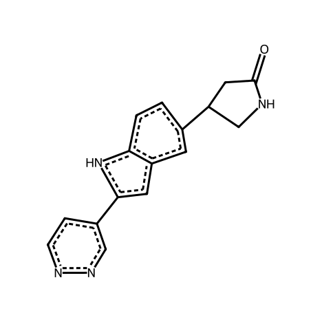 O=C1CC(c2ccc3[nH]c(-c4ccnnc4)cc3c2)CN1